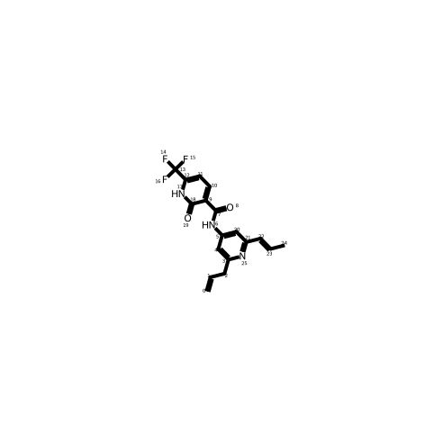 C=CCc1cc(NC(=O)c2ccc(C(F)(F)F)[nH]c2=O)cc(/C=C/C)n1